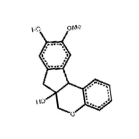 COc1cc2c(cc1O)CC1(O)COc3ccccc3C21